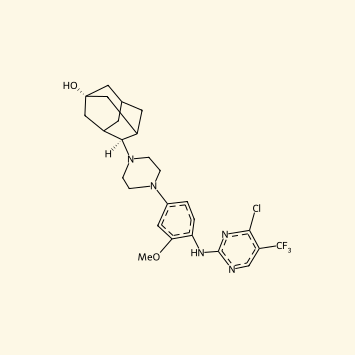 COc1cc(N2CCN([C@H]3C4CC5CC3C[C@](O)(C5)C4)CC2)ccc1Nc1ncc(C(F)(F)F)c(Cl)n1